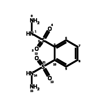 NNS(=O)(=O)c1ccccc1S(=O)(=O)NN